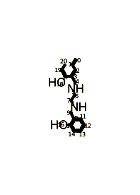 C=C/C=C(CNCCNCc1ccccc1O)\C(O)=C/C